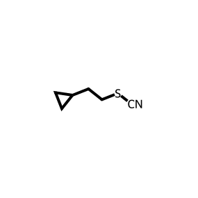 N#CSCCC1CC1